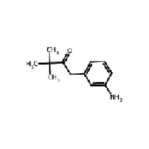 CC(C)(C)C(=O)Cc1cccc(N)c1